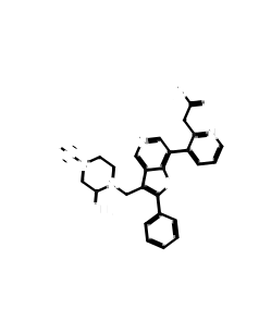 CC1CN(S(C)(=O)=O)CCN1Cc1c(-c2ccccc2)sc2c(-c3cccnc3CC(N)=O)cncc12